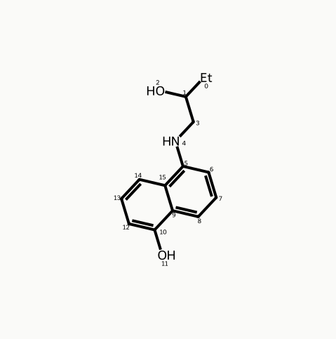 CCC(O)CNc1cccc2c(O)cccc12